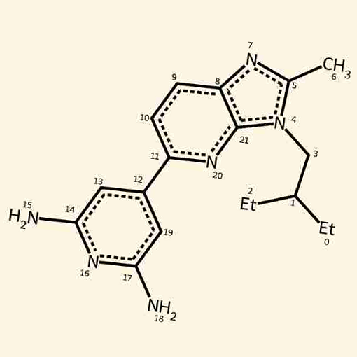 CCC(CC)Cn1c(C)nc2ccc(-c3cc(N)nc(N)c3)nc21